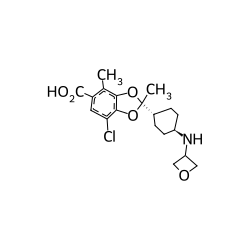 Cc1c(C(=O)O)cc(Cl)c2c1OC(C)([C@H]1CC[C@H](NC3COC3)CC1)O2